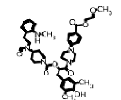 CNc1ccccc1CCN(C=O)C1CCN(C(=O)O[C@H](Cc2cc(C)c(O)c(C)c2)C(=O)N2CCN(c3ccc(C(=O)OCCOC)cc3)CC2)CC1